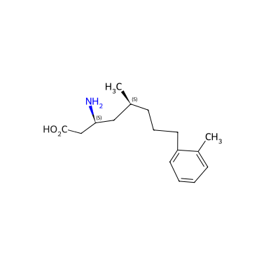 Cc1ccccc1CCC[C@H](C)C[C@H](N)CC(=O)O